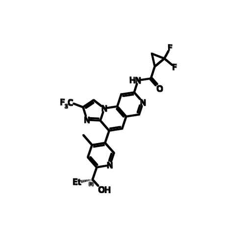 CC[C@@H](O)c1cc(C)c(-c2cc3cnc(NC(=O)C4CC4(F)F)cc3n3cc(C(F)(F)F)nc23)cn1